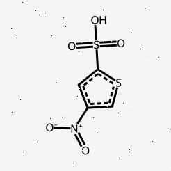 O=[N+]([O-])c1csc(S(=O)(=O)O)c1